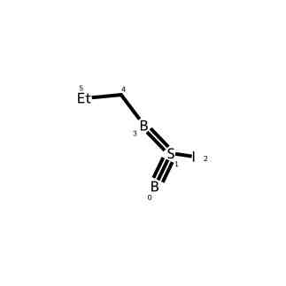 B#S(I)=BCCC